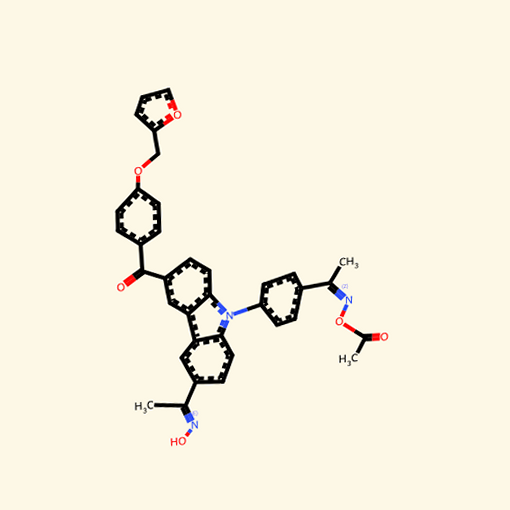 CC(=O)O/N=C(/C)c1ccc(-n2c3ccc(C(=O)c4ccc(OCc5ccco5)cc4)cc3c3cc(/C(C)=N/O)ccc32)cc1